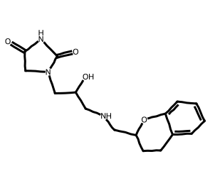 O=C1CN(CC(O)CNCC2CCc3ccccc3O2)C(=O)N1